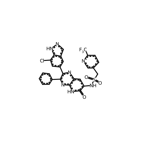 O=c1[nH]c2nc(-c3ccccc3)c(-c3cc(Cl)c4[nH]ncc4c3)nc2cc1NS(=O)(=O)Cc1ccc(C(F)(F)F)nc1